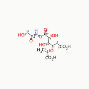 CC(OC(CC(=O)O)C(O)C(O)C(=O)ONC(=O)CO)C(=O)O